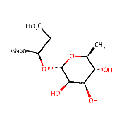 CCCCCCCCCC(CC(=O)O)O[C@@H]1O[C@@H](C)[C@H](O)[C@@H](O)[C@H]1O